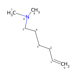 C=C[CH]CCCN(C)C